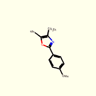 CCCc1oc(-c2ccc(OC)cc2)nc1C(=O)OCC